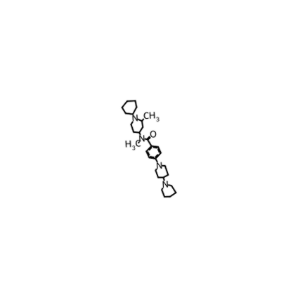 CC1CC(N(C)C(=O)c2ccc(N3CCC(N4CCCCC4)CC3)cc2)CCN1C1CCCCC1